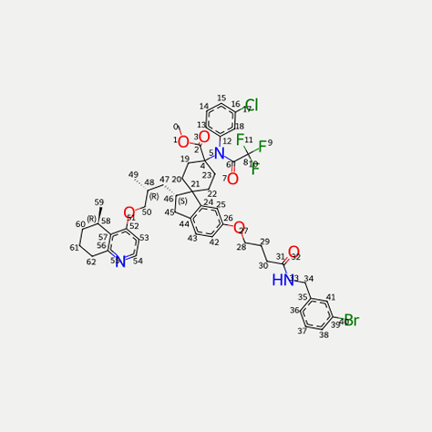 COC(=O)C1(N(C(=O)C(F)(F)F)c2cccc(Cl)c2)CCC2(CC1)c1cc(OCCCC(=O)NCc3cccc(Br)c3)ccc1C[C@@H]2C[C@@H](C)COc1ccnc2c1[C@H](C)CCC2